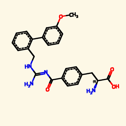 COc1cccc(-c2ccccc2CNC(N)=NC(=O)c2ccc(C[C@H](N)C(=O)O)cc2)c1